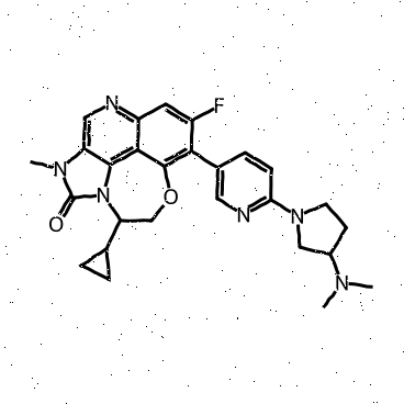 CN(C)C1CCN(c2ccc(-c3c(F)cc4ncc5c6c4c3OCC(C3CC3)n6c(=O)n5C)cn2)C1